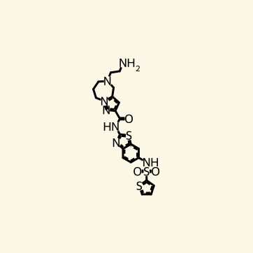 NCCN1CCCn2nc(C(=O)Nc3nc4ccc(NS(=O)(=O)c5cccs5)cc4s3)cc2C1